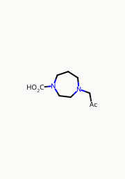 CC(=O)CN1CCCN(C(=O)O)CC1